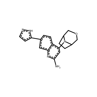 Nc1cc(N2C3CCC2COC3)c2ccc(-c3ccn[nH]3)cc2n1